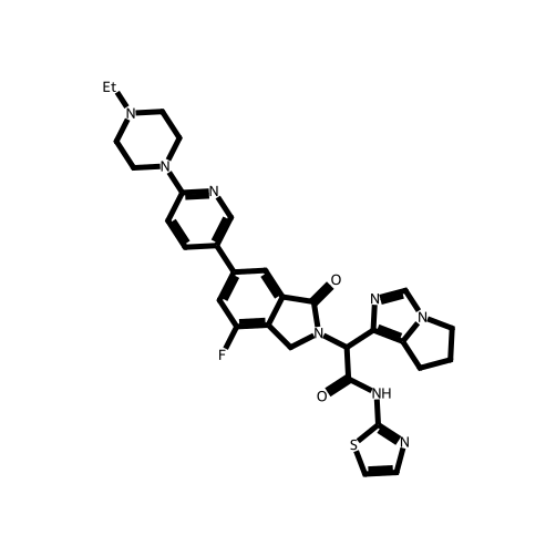 CCN1CCN(c2ccc(-c3cc(F)c4c(c3)C(=O)N(C(C(=O)Nc3nccs3)c3ncn5c3CCC5)C4)cn2)CC1